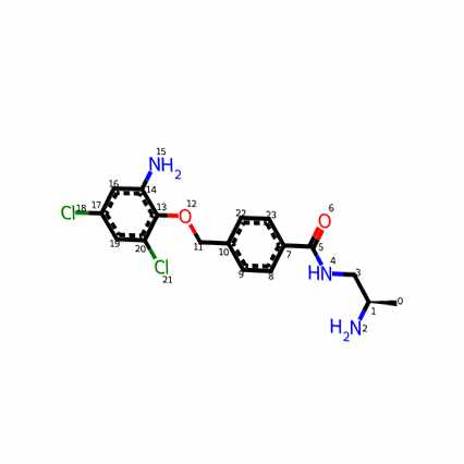 C[C@@H](N)CNC(=O)c1ccc(COc2c(N)cc(Cl)cc2Cl)cc1